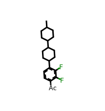 CC(=O)c1ccc(C2CCC(C3CCC(C)CC3)CC2)c(F)c1F